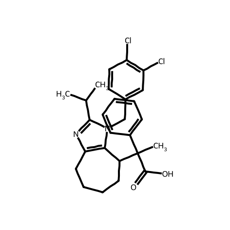 CC(C)c1nc2c(n1Cc1ccc(Cl)c(Cl)c1)C(C(C)(C(=O)O)c1ccccc1)CCCC2